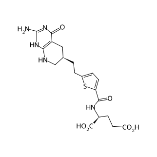 Nc1nc(=O)c2c([nH]1)NC[C@H](CCc1ccc(C(=O)N[C@@H](CCC(=O)O)C(=O)O)s1)C2